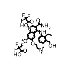 CCc1c(CO)cccc1Nc1c(C(N)=O)cnc2cc(OC)c(OCCN(C)C)cc12.O=C(O)C(F)(F)F.O=C(O)C(F)(F)F